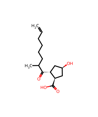 C=CCCCCC(C)C(=O)[C@@H]1C[C@@H](O)C[C@H]1C(=O)O